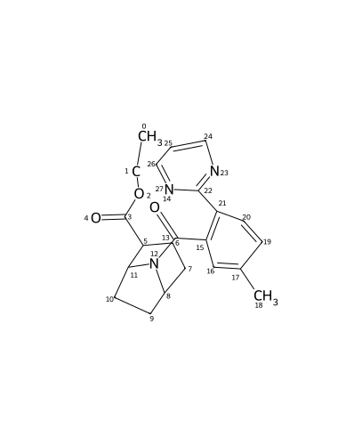 CCOC(=O)C1CCC2CCC1N2C(=O)c1cc(C)ccc1-c1ncccn1